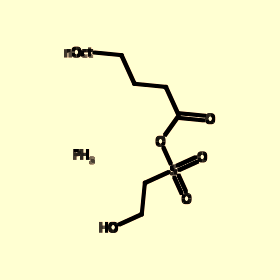 CCCCCCCCCCCC(=O)OS(=O)(=O)CCO.P